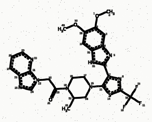 COc1cc2nc(-c3nc(C(F)(F)F)sc3N3CCN(C(=O)Cn4cnc5cccnc54)C(C)C3)[nH]c2cc1OC